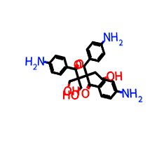 Nc1ccc(C(=O)C(CO)(CO)C(CCO)(C(=O)c2ccc(N)cc2)C(=O)c2ccc(N)cc2)cc1